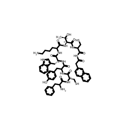 C[C@@H](O)[C@H](NC(=O)C(CCCCN)NC(=O)[C@@H](Cc1c[nH]c2ccccc12)NC(=O)C(Cc1ccc(O)cc1)NC(=O)[C@@H](CS)NC(=O)C(N)Cc1ccccc1)C(=O)NC(CS)C(=O)NC(=O)Cc1ccc2ccccc2c1